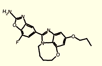 CCCOc1cc2c3c(c1)nc(-c1cc(F)c4oc(N)nc4c1)n3CCCCO2